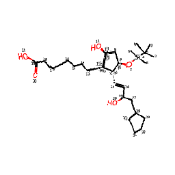 CC(C)(C)[Si](C)(C)O[C@@H]1C[C@H](O)[C@H](CCCCCCC(=O)O)[C@H]1C=CC(O)CC1CCCC1